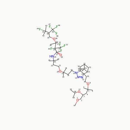 COCC(CC(C)(C)OCCC12N=NN(CCC(C)(C)OCCC(C)(C)NC(=O)C(F)(C(F)(F)F)C(C)(C)OCC(C(C)(C)F)C(F)(F)F)C1CC1CC2C1(C)C)OC(C)C